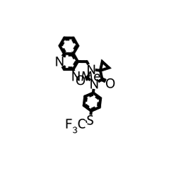 CNc1cnc2ccccc2c1CN1C(=O)N(c2ccc(SC(F)(F)F)cc2)C(=O)C12CC2